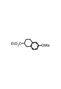 CCOC(=O)[C@H]1CCc2cc(OC)ccc2C1